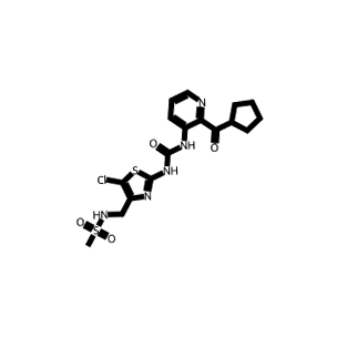 CS(=O)(=O)NCc1nc(NC(=O)Nc2cccnc2C(=O)C2CCCC2)sc1Cl